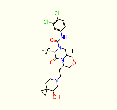 C[C@H]1C(=O)N2[C@H](CCN3CCC4(CC4)[C@H](O)C3)COC[C@@H]2CN1C(=O)Nc1ccc(Cl)c(Cl)c1